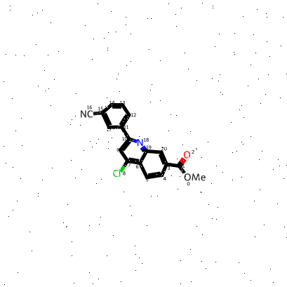 COC(=O)c1ccc2c(Cl)cc(-c3cccc(C#N)c3)nc2c1